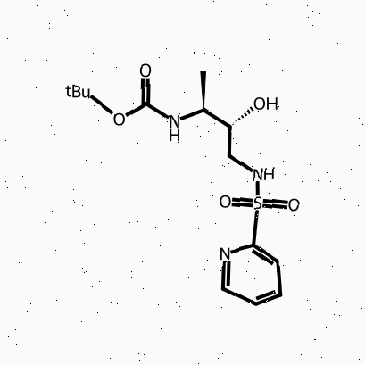 C[C@H](NC(=O)OC(C)(C)C)[C@H](O)CNS(=O)(=O)c1ccccn1